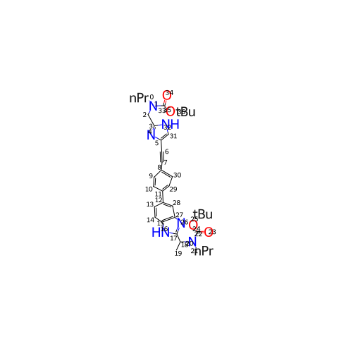 CCCN(Cc1nc(C#Cc2ccc(-c3ccc4[nH]c(C(C)N(CCC)C(=O)OC(C)(C)C)nc4c3)cc2)c[nH]1)C(=O)OC(C)(C)C